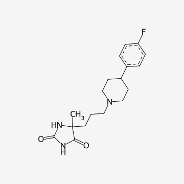 CC1(CCCN2CCC(c3ccc(F)cc3)CC2)NC(=O)NC1=O